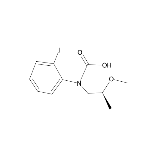 CO[C@@H](C)CN(C(=O)O)c1ccccc1I